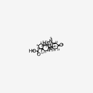 CN1C[C@H]2[C@@H]3CC[C@H](C(=O)O)[C@@]3(C)CC[C@@H]2[C@@]2(C)CCC(=O)C=C12